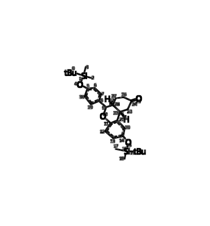 CC(C)(C)[Si](C)(C)Oc1ccc(C2Oc3ccc(O[Si](C)(C)C(C)(C)C)cc3[C@H]3CC(=O)CC[C@@H]23)cc1